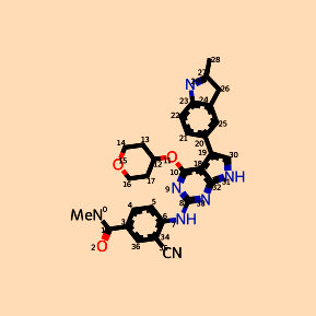 CNC(=O)c1ccc(Nc2nc(OC3CCOCC3)c3c(-c4ccc5c(c4)CC(C)=N5)c[nH]c3n2)c(C#N)c1